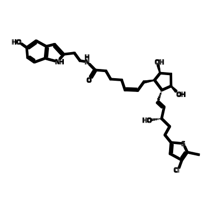 Cc1sc(CC[C@H](O)/C=C/[C@@H]2[C@@H](C/C=C\CCCC(=O)NCCc3cc4cc(O)ccc4[nH]3)[C@@H](O)C[C@H]2O)cc1Cl